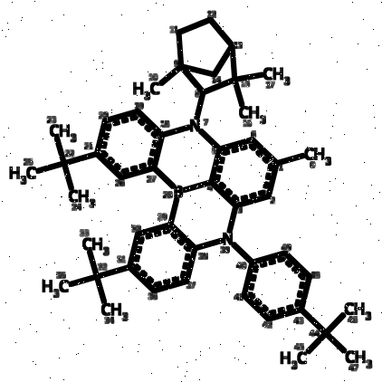 Cc1cc2c3c(c1)N(C1C4(C)CCC(C4)C1(C)C)c1ccc(C(C)(C)C)cc1B3c1cc(C(C)(C)C)ccc1N2c1ccc(C(C)(C)C)cc1